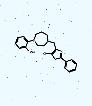 COc1ccccc1N1CCCN(Cc2nc(-c3ccccc3)sc2Cl)CC1